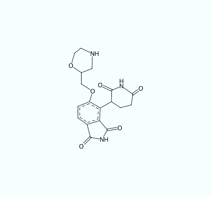 O=C1CCC(c2c(OCC3CNCCO3)ccc3c2C(=O)NC3=O)C(=O)N1